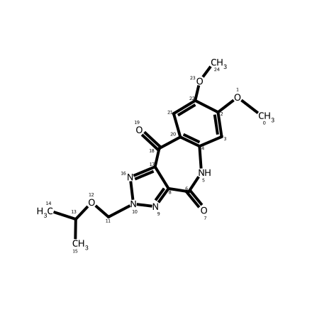 COc1cc2[nH]c(=O)c3nn(COC(C)C)nc3c(=O)c2cc1OC